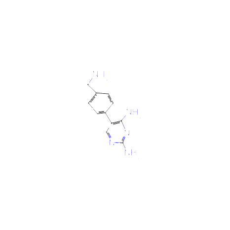 NCc1ccc(-c2cnc(N)nc2N)cc1